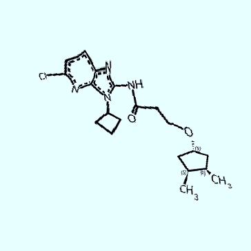 C[C@@H]1C[C@@H](OCCC(=O)Nc2nc3ccc(Cl)nc3n2C2CCC2)C[C@@H]1C